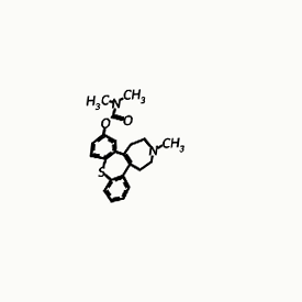 CN1CCC2=C(CC1)c1cc(OC(=O)N(C)C)ccc1Sc1ccccc12